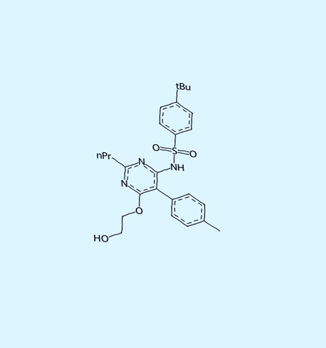 CCCc1nc(NS(=O)(=O)c2ccc(C(C)(C)C)cc2)c(-c2ccc(C)cc2)c(OCCO)n1